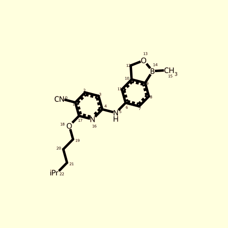 [C-]#[N+]c1ccc(Nc2ccc3c(c2)COB3C)nc1OCCCC(C)C